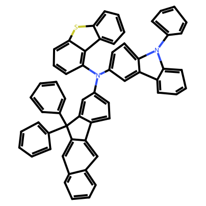 c1ccc(-n2c3ccccc3c3cc(N(c4ccc5c(c4)C(c4ccccc4)(c4ccccc4)c4cc6ccccc6cc4-5)c4cccc5sc6ccccc6c45)ccc32)cc1